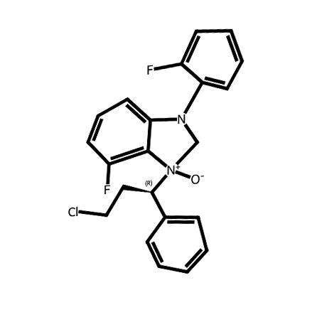 [O-][N+]1([C@H](CCCl)c2ccccc2)CN(c2ccccc2F)c2cccc(F)c21